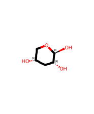 O[C@@H]1CO[C@@H](O)[C@H](O)C1